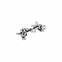 CC1(N(CC(=O)O)CC(=O)O)CN(CC(=O)O)CCN(C(CCCCNCC(O)C(O)C(OC2=CC(O)C(O)C(CO)O2)C(O)CO)C(=O)O)C1